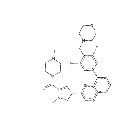 CN1CCN(C(=O)C2=CC(c3cnc4cccc(-c5cc(F)c(CN6CCOCC6)c(F)c5)c4n3)CN2C)CC1